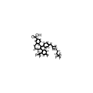 O=C(O)c1ccc2c(c1)CCCC(c1ccc(F)cc1C(F)(F)F)=C2c1ccc(CC2CN(CCC(F)(F)F)C2)cc1